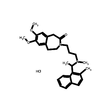 COc1cc2c(cc1OC)CC(=O)N(CCCN(C)C(C)c1c(C)ccc3ccccc13)CC2.Cl